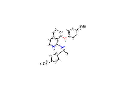 COc1ccc(Oc2cccc3ccnc(N[C@@H](C)c4ccc(C(=O)O)cc4)c23)cc1